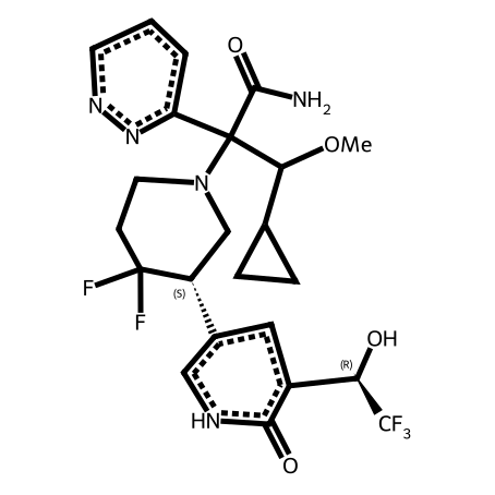 COC(C1CC1)C(C(N)=O)(c1cccnn1)N1CCC(F)(F)[C@@H](c2c[nH]c(=O)c([C@@H](O)C(F)(F)F)c2)C1